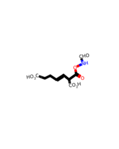 O=CNOC(=O)C(C=CCCC(=O)O)C(=O)O